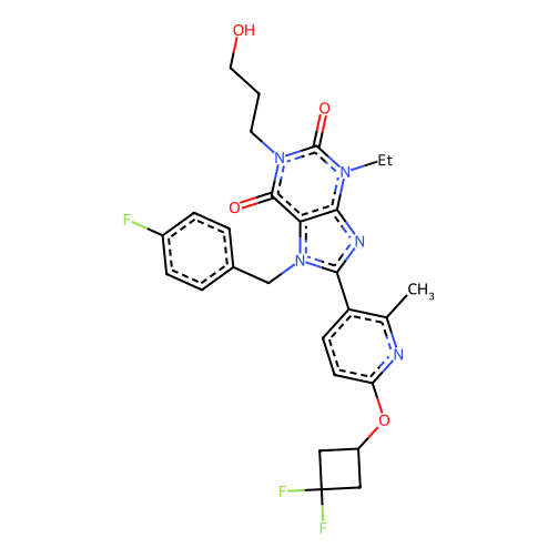 CCn1c(=O)n(CCCO)c(=O)c2c1nc(-c1ccc(OC3CC(F)(F)C3)nc1C)n2Cc1ccc(F)cc1